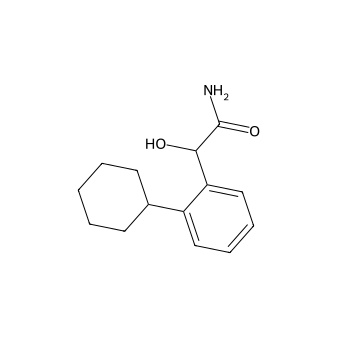 NC(=O)C(O)c1ccccc1C1CCCCC1